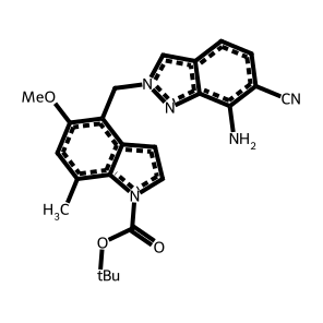 COc1cc(C)c2c(ccn2C(=O)OC(C)(C)C)c1Cn1cc2ccc(C#N)c(N)c2n1